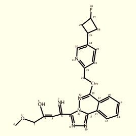 COC/C(O)=C/C(=N)c1nnc2c3ccccc3c(OCc3ccc(C4CC(F)C4)cn3)nn12